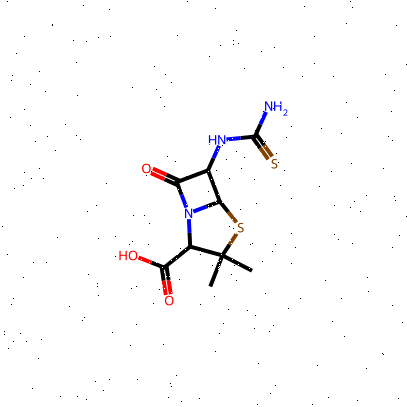 CC1(C)SC2C(NC(N)=S)C(=O)N2C1C(=O)O